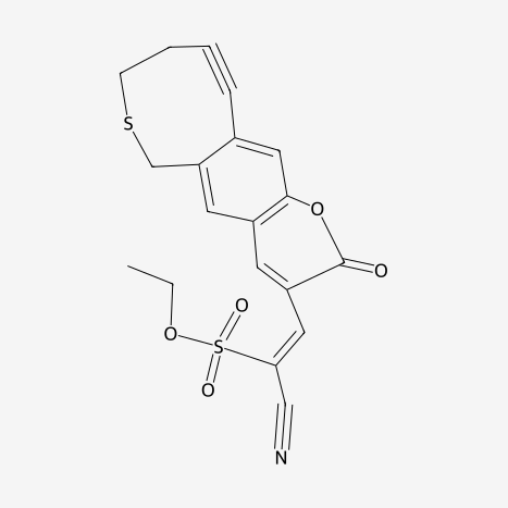 CCOS(=O)(=O)C(C#N)=Cc1cc2cc3c(cc2oc1=O)C#CCCSC3